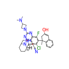 CN(C)C1CN(c2nc(N3C4CCC[C@H]3[C@H](CC#N)NC4)c3cc(Cl)c(C4(C)CC(O)=Cc5ccccc54)c(F)c3n2)C1